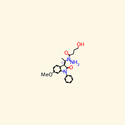 COc1ccc2c(c1)N(c1ccccc1)C(=O)/C2=C(/C)N(N)C(=O)CCCO